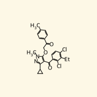 CCc1c(Cl)ccc(C(=O)c2c(C3CC3)nn(C)c2OCC(=O)c2ccc(C)cc2)c1Cl